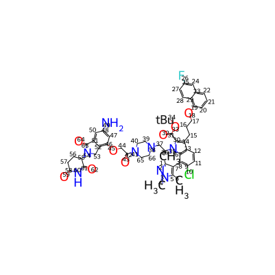 Cc1nn(C)c(C)c1-c1c(Cl)ccc2c(CCCOc3cccc4cc(F)ccc34)c(C(=O)OC(C)(C)C)n(CCN3CCN(C(=O)COc4cc(N)cc5c4CN(C4CCC(=O)NC4=O)C5=O)CC3)c12